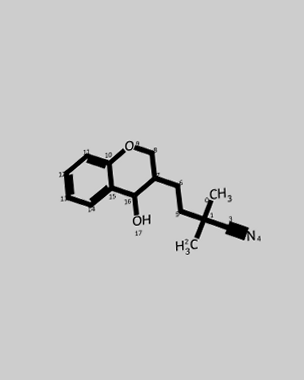 CC(C)(C#N)CCC1COc2ccccc2C1O